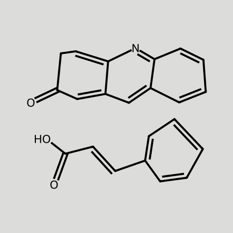 O=C(O)C=Cc1ccccc1.O=C1C=c2cc3ccccc3nc2=CC1